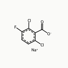 O=C([O-])c1c(Cl)ccc(F)c1Cl.[Na+]